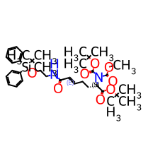 COC(=O)N(C(=O)OC(C)(C)C)[C@@H](CC/C=C/C(=O)NCCO[Si](c1ccccc1)(c1ccccc1)C(C)(C)C)C(=O)OC(C)(C)C